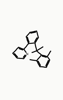 Cc1cccc(C)c1C(C)(C)c1ccccc1-c1ccccn1